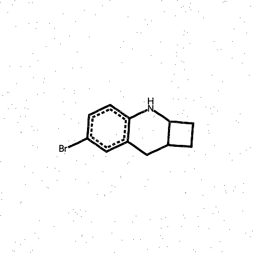 Brc1ccc2c(c1)CC1CCC1N2